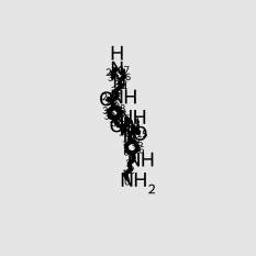 NCCCNC1CCC(n2cc3c(nc2=O)Nc2cc(C(=O)NCCN4CCNCC4)ccc2O3)CC1